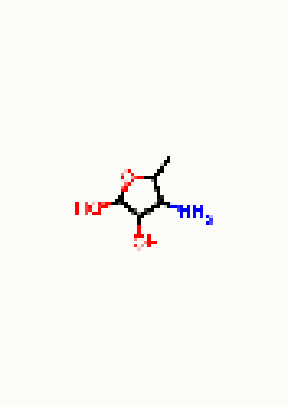 CC1OC(O)C(O)C1N